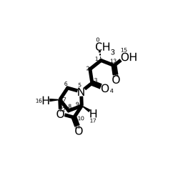 C[C@@H](CC(=O)N1C[C@@H]2C[C@H]1C(=O)O2)C(=O)O